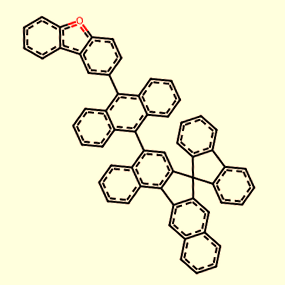 c1ccc2c(c1)-c1ccccc1C21c2cc3ccccc3cc2-c2c1cc(-c1c3ccccc3c(-c3ccc4oc5ccccc5c4c3)c3ccccc13)c1ccccc21